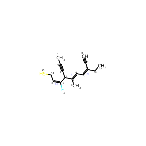 C#C/C(=C\C=C(/C)C(C#CC)/C(F)=C\CS)CC